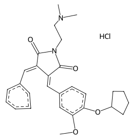 COc1cc(/C=C2\C(=O)N(CCN(C)C)C(=O)\C2=C\c2ccccc2)ccc1OC1CCCC1.Cl